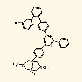 C[C@@H]1C[C@@H]2C[C@H](C)CC(c3ccc(-c4nc(-c5ccccc5)nc(-c5ccc6c7ccccc7c7cc(C#N)ccc7c6c5)n4)cc3)(C1)C2